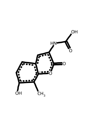 Cc1c(O)ccc2cc(NC(=O)O)c(=O)oc12